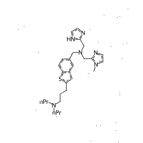 CCCN(CCC)CCCc1cc2cc(CN(Cc3ncc[nH]3)Cc3nccn3C)ccc2s1